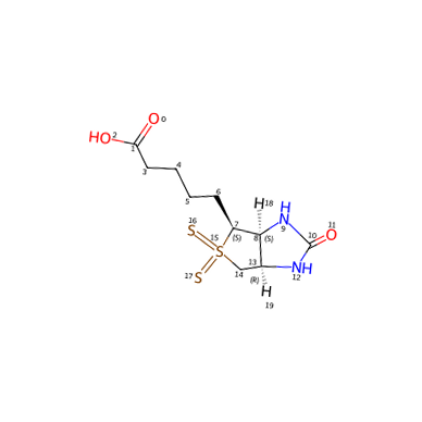 O=C(O)CCCC[C@H]1[C@H]2NC(=O)N[C@H]2CS1(=S)=S